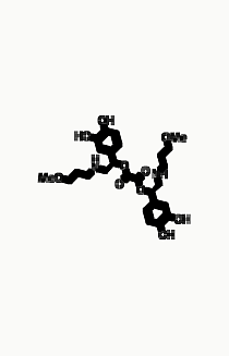 COCCCNC[C@H](OC(=O)C(=O)O[C@@H](CNCCCOC)c1ccc(O)c(O)c1)c1ccc(O)c(O)c1